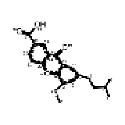 CSc1cc(CCC(C)C)cc2c(=O)c3cc(C(=O)O)ccc3oc12